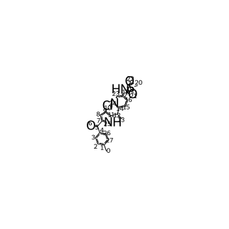 Cc1ccc(C(=O)c2cc(Cl)c(C(C)c3ccc(NS(C)(=O)=O)cn3)[nH]2)cc1